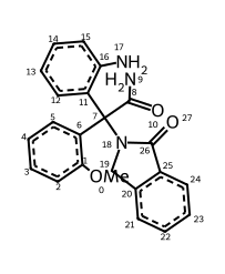 COc1ccccc1C(C(N)=O)(c1ccccc1N)N1Cc2ccccc2C1=O